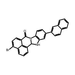 O=C1c2ccc(Br)c3cccc(c23)C2Nc3cc(-c4ccc5ccccc5c4)ccc3N12